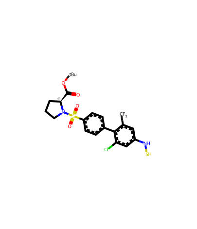 CC(C)(C)OC(=O)[C@@H]1CCCN1S(=O)(=O)c1ccc(-c2c(Cl)cc(NS)cc2C(F)(F)F)cc1